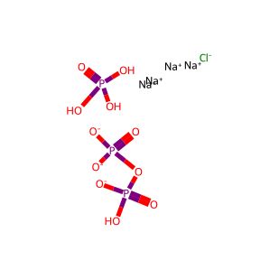 O=P(O)(O)O.O=P([O-])([O-])OP(=O)([O-])O.[Cl-].[Na+].[Na+].[Na+].[Na+]